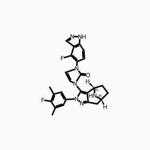 Cc1cc(-n2nc3c(c2-n2ccn(-c4ccc5[nH]ncc5c4F)c2=O)[C@@H]2CC[C@H](C3)N2)cc(C)c1F